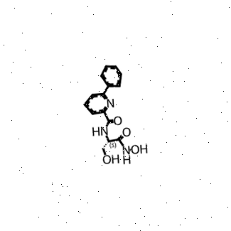 O=C(N[C@@H](CO)C(=O)NO)c1cccc(-c2ccccc2)n1